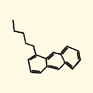 CCCC[CH]c1cccc2cc3ccccc3cc12